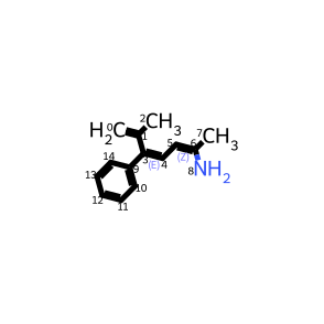 C=C(C)/C(=C\C=C(\C)N)c1ccccc1